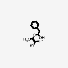 CC(OC(O)Cc1ccccc1)=C(C(C)C)C(C)C